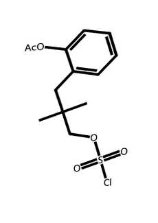 CC(=O)Oc1ccccc1CC(C)(C)COS(=O)(=O)Cl